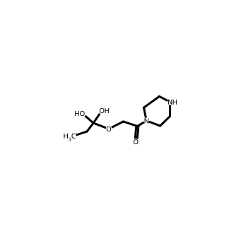 CCC(O)(O)OCC(=O)N1CCNCC1